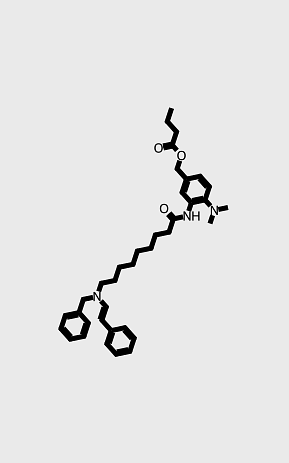 CCCC(=O)OCc1ccc(N(C)C)c(NC(=O)CCCCCCCCN(C=Cc2ccccc2)Cc2ccccc2)c1